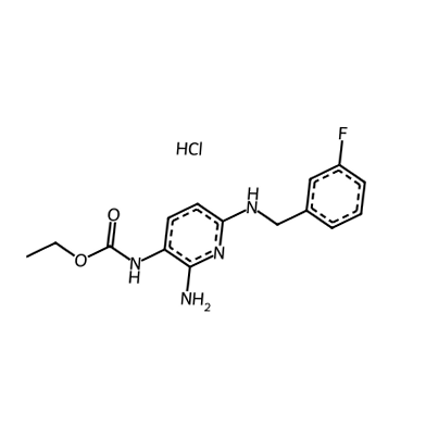 CCOC(=O)Nc1ccc(NCc2cccc(F)c2)nc1N.Cl